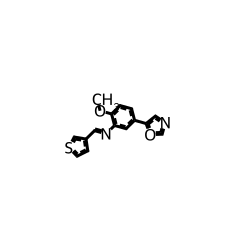 COc1ccc(-c2cnco2)cc1/N=C/c1ccsc1